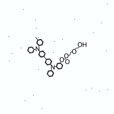 Cc1cccc(N(c2ccccc2)c2ccc(-c3ccc(N(c4ccccc4)c4cccc(OC(=O)OCCOCCO)c4)cc3)cc2)c1